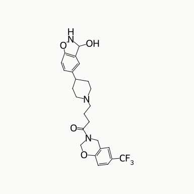 O=C(CCCN1CCC(c2ccc3c(c2)C(O)NO3)CC1)N1COc2ccc(C(F)(F)F)cc2C1